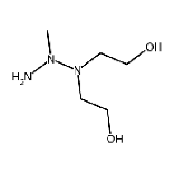 CN(N)N(CCO)CCO